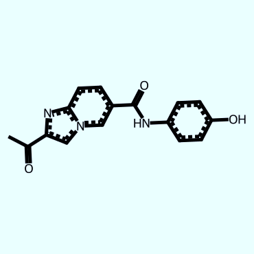 CC(=O)c1cn2cc(C(=O)Nc3ccc(O)cc3)ccc2n1